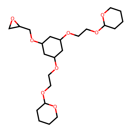 C1CCC(OCCOC2CC(OCCOC3CCCCO3)CC(OCC3CO3)C2)OC1